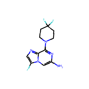 Nc1cn2c(F)cnc2c(N2CCC(F)(F)CC2)n1